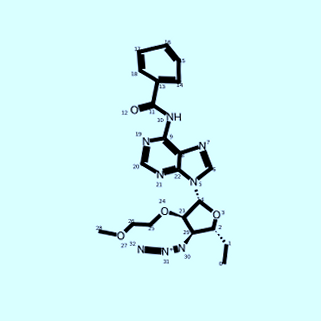 CC[C@H]1O[C@@H](n2cnc3c(NC(=O)c4ccccc4)ncnc32)[C@H](OCCOC)[C@@H]1N=[N+]=[N-]